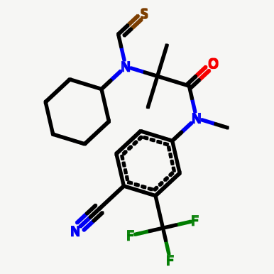 CN(C(=O)C(C)(C)N(C=S)C1CCCCC1)c1ccc(C#N)c(C(F)(F)F)c1